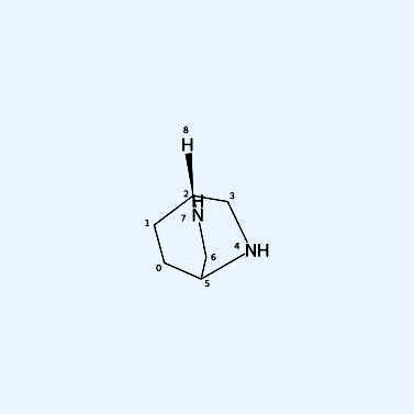 C1C[C@@H]2CNC1CN2